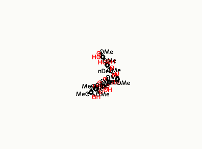 CCCCCCCCCCCCOC(=O)c1ccc(OC)c(OC)c1.COC(=O)c1cc(O)cc(O)c1.COC(=O)c1ccc(O)c(O)c1.COC(=O)c1ccc(O)cc1O.COC(=O)c1ccc(OC)c(OC)c1.COC(=O)c1ccc(OC)cc1O.COc1cc(CO)cc(OC)c1